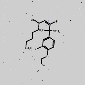 CC(=O)N(/C=C(/C(C)C)C(C)(C)c1ccc(OCC(C)(C)C)c(Cl)c1)CCCCC(=O)O